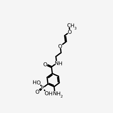 CO/C=C/OCCNC(=O)c1ccc(N)c(P(=O)(O)O)c1